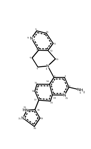 Nc1cc(N2CCc3ncccc3C2)c2ccc(-c3ccn[nH]3)cc2n1